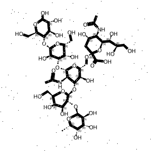 CC(=O)N[C@H]1[C@H](O[C@H]2[C@@H](O)[C@@H](CO)O[C@@H](O[C@H]3[C@H](O)[C@@H](O)C(O)O[C@@H]3CO)[C@@H]2O)O[C@H](CO[C@]2(C(=O)O)C[C@H](O)[C@@H](NC(C)=O)[C@@H]([C@H](O)[C@H](O)CO)O2)[C@@H](O)[C@@H]1O[C@@H]1O[C@H](CO)[C@H](O)[C@H](O)[C@H]1O[C@@H]1O[C@@H](C)[C@@H](O)[C@@H](O)[C@@H]1O